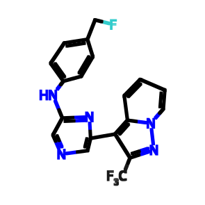 FCc1ccc(Nc2cncc(-c3c(C(F)(F)F)nn4ccccc34)n2)cc1